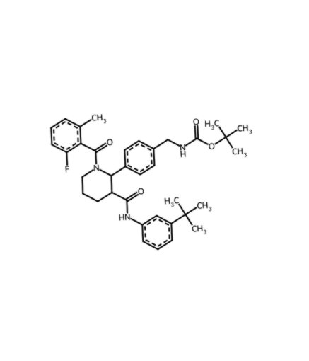 Cc1cccc(F)c1C(=O)N1CCCC(C(=O)Nc2cccc(C(C)(C)C)c2)C1c1ccc(CNC(=O)OC(C)(C)C)cc1